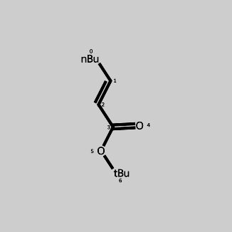 CCCC/C=C/C(=O)OC(C)(C)C